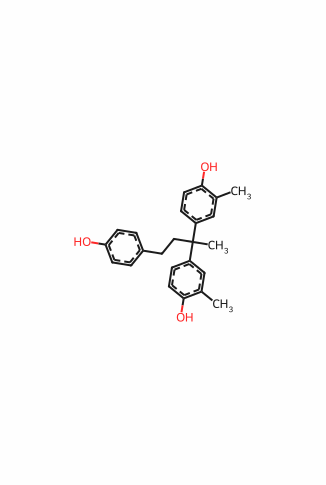 Cc1cc(C(C)(CCc2ccc(O)cc2)c2ccc(O)c(C)c2)ccc1O